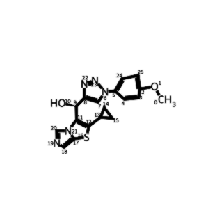 COc1ccc(-n2cc([C@H](O)c3c(C4CC4)sc4cncn34)nn2)cc1